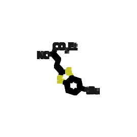 CCOC(=O)C(C#N)=CC=C1Sc2ccc(C(C)(C)C)cc2S1